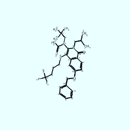 CC(C)Cn1c(N(CC(C)(C)C)C(=O)O)c(OCCCC(F)(F)F)c2cc(OCc3ccccc3)ccc2c1=O